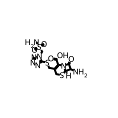 NC1C(=O)N2C(C(=O)O)=C(CSc3nnnn3CS(N)(=O)=O)CS[C@H]12